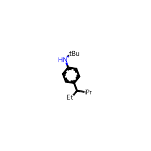 CCC(c1ccc(NC(C)(C)C)cc1)C(C)C